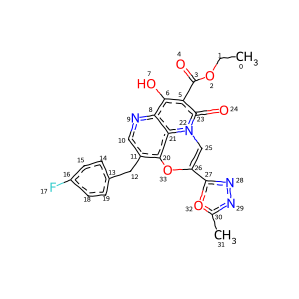 CCOC(=O)c1c(O)c2ncc(Cc3ccc(F)cc3)c3c2n(c1=O)C=C(c1nnc(C)o1)O3